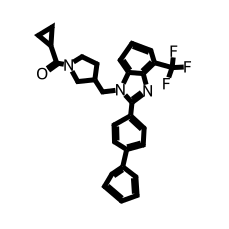 O=C(C1CC1)N1CCC(Cn2c(-c3ccc(-c4ccccc4)cc3)nc3c(C(F)(F)F)cccc32)C1